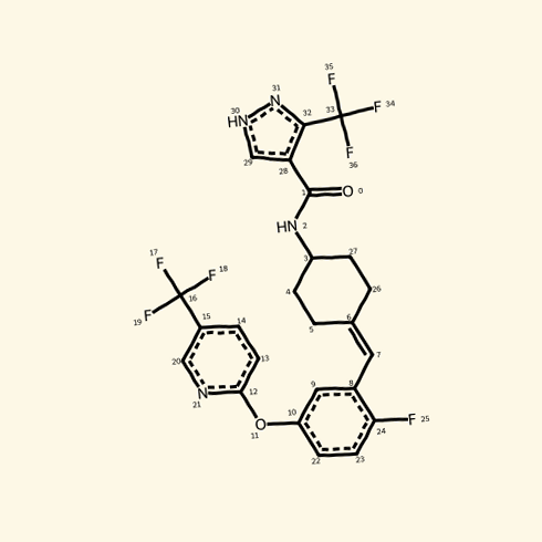 O=C(NC1CCC(=Cc2cc(Oc3ccc(C(F)(F)F)cn3)ccc2F)CC1)c1c[nH]nc1C(F)(F)F